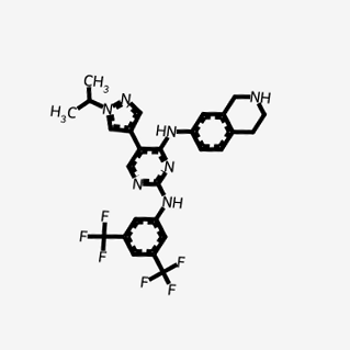 CC(C)n1cc(-c2cnc(Nc3cc(C(F)(F)F)cc(C(F)(F)F)c3)nc2Nc2ccc3c(c2)CNCC3)cn1